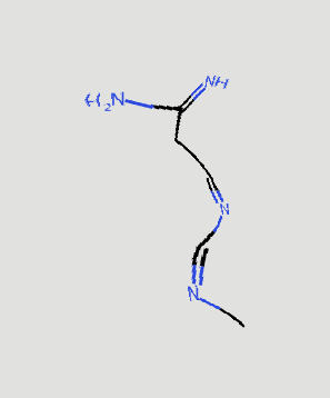 C/N=C\N=C/CC(=N)N